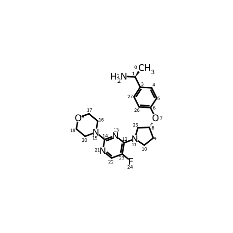 C[C@H](N)c1ccc(O[C@@H]2CCN(c3nc(N4CCOCC4)ncc3F)C2)cc1